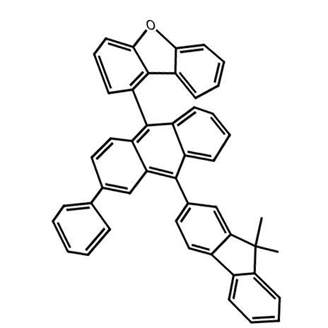 CC1(C)c2ccccc2-c2ccc(-c3c4ccccc4c(-c4cccc5oc6ccccc6c45)c4ccc(-c5ccccc5)cc34)cc21